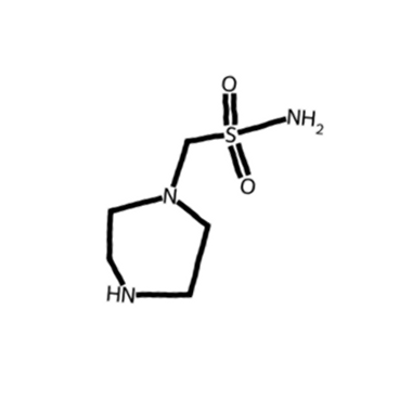 NS(=O)(=O)CN1CCNCC1